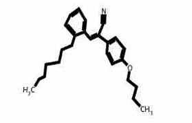 CCCCCCCc1ccccc1/C=C(\C#N)c1ccc(OCCCC)cc1